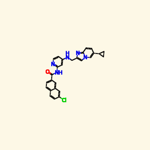 O=C(Nc1cc(NCc2cn3cc(C4CC4)ccc3n2)ccn1)c1ccc2ccc(Cl)cc2c1